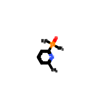 Cc1cccc(P(C)(C)=O)n1